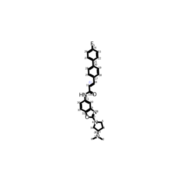 CN(C)[C@@H]1CCN(c2nc3cc(NC(=O)/C=C/c4ccc(-c5ccc(F)cc5)cc4)ccc3o2)C1